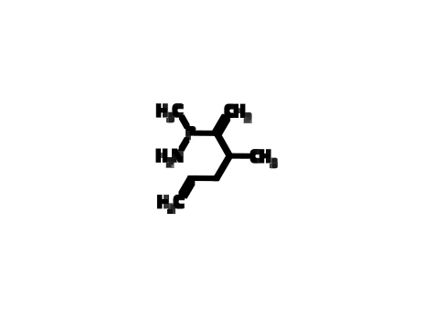 C=CCC(C)C(=C)P(C)N